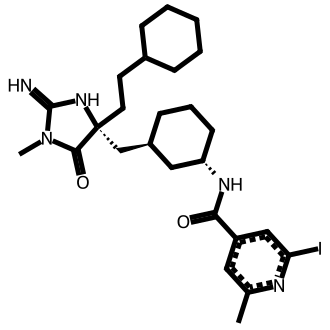 Cc1cc(C(=O)N[C@H]2CCC[C@H](C[C@@]3(CCC4CCCCC4)NC(=N)N(C)C3=O)C2)cc(I)n1